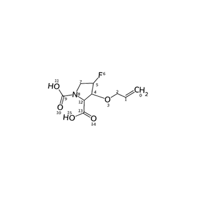 C=CCOC1C(F)CN(C(=O)O)C1C(=O)O